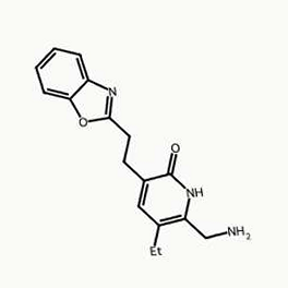 CCc1cc(CCc2nc3ccccc3o2)c(=O)[nH]c1CN